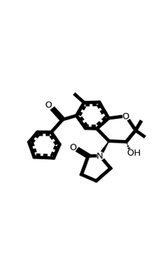 Cc1cc2c(cc1C(=O)c1ccccc1)[C@H](N1CCCC1=O)[C@@H](O)C(C)(C)O2